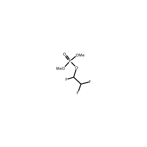 COP(=O)(OC)OC(F)C(F)F